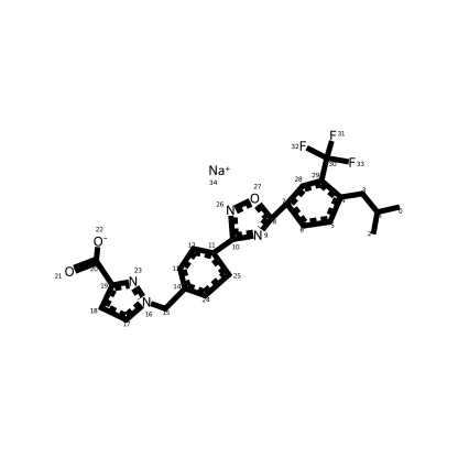 CC(C)Cc1ccc(-c2nc(-c3ccc(Cn4ccc(C(=O)[O-])n4)cc3)no2)cc1C(F)(F)F.[Na+]